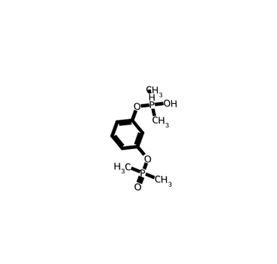 CP(C)(=O)Oc1cccc(O[PH](C)(C)O)c1